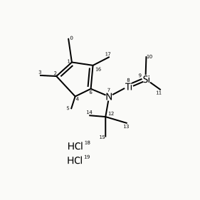 CC1=C(C)C(C)C([N]([Ti]=[Si](C)C)C(C)(C)C)=C1C.Cl.Cl